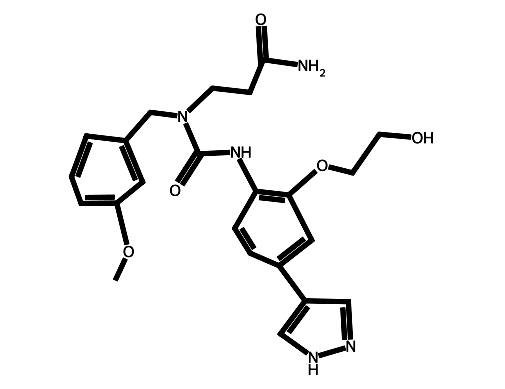 COc1cccc(CN(CCC(N)=O)C(=O)Nc2ccc(-c3cn[nH]c3)cc2OCCO)c1